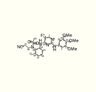 COc1cc(Nc2ncc(F)c(Nc3cccc(C)c3N(CCC#N)S(C)(=O)=O)n2)cc(OC)c1OC